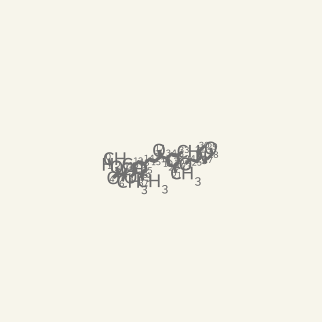 CCOC(=O)C(C)(C)Oc1c(C)cc(C=CC(=O)c2cc(C)c(OCCN3CCOCC3)c(C)c2)cc1C